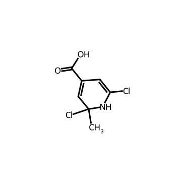 CC1(Cl)C=C(C(=O)O)C=C(Cl)N1